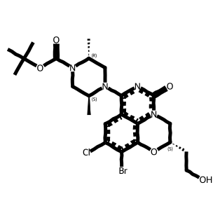 C[C@@H]1CN(c2nc(=O)n3c4c(c(Br)c(Cl)cc24)O[C@@H](CCO)C3)[C@@H](C)CN1C(=O)OC(C)(C)C